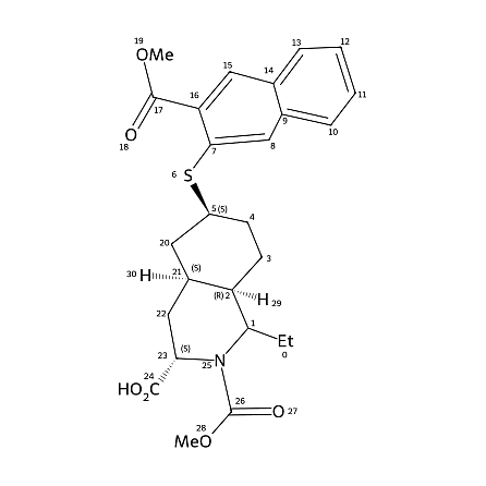 CCC1[C@@H]2CC[C@H](Sc3cc4ccccc4cc3C(=O)OC)C[C@@H]2C[C@@H](C(=O)O)N1C(=O)OC